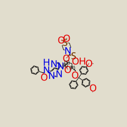 COc1ccc(C(OC[C@H]2O[C@@H](n3cnc4c(NC(=O)c5ccccc5)ncnc43)[C@@H](OC(=S)N3CCS(=O)(=O)CC3)C2O)(c2ccccc2)c2ccc(OC)cc2)cc1